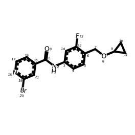 O=C(Nc1ccc(COC2CC2)c(F)c1)c1ccnc(Br)c1